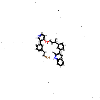 Cc1nc2ccccc2cc1-c1cccc(C(C)CCOc2ccncc2-c2cccc(CCS)c2)c1